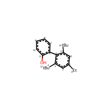 CCc1cc(C(C)(C)C)c(-c2ccccc2O)c(C(C)(C)C)c1